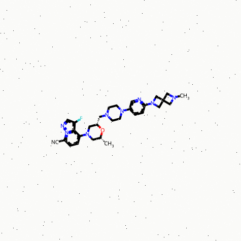 C[C@@H]1CN(c2ccc(C#N)n3ncc(F)c23)C[C@H](CN2CCN(c3ccc(N4CC5(CN(C)C5)C4)nc3)CC2)O1